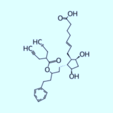 C#CCC(CC#C)C(=O)OC(CCc1ccccc1)CC[C@@H]1[C@@H](CC=CCCCC(=O)O)[C@@H](O)C[C@H]1O